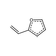 C=Cc1[c]cco1